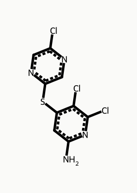 Nc1cc(Sc2cnc(Cl)cn2)c(Cl)c(Cl)n1